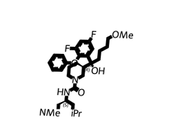 CNC[C@H](CC(C)C)NC(=O)N1CCC[C@@H]([C@@](O)(CCCCOC)c2cc(F)cc(F)c2Oc2ccccc2)C1